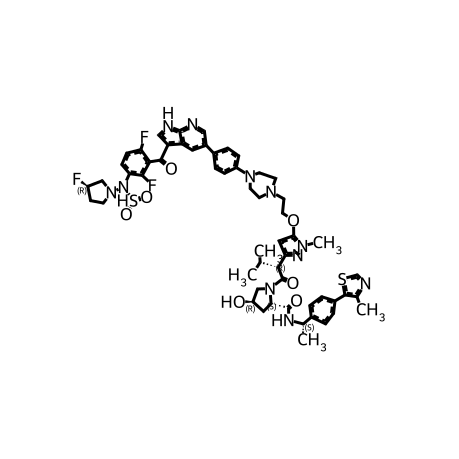 Cc1ncsc1-c1ccc([C@H](C)NC(=O)[C@@H]2C[C@@H](O)CN2C(=O)[C@@H](c2cc(OCCN3CCN(c4ccc(-c5cnc6[nH]cc(C(=O)c7c(F)ccc(N(N8CC[C@@H](F)C8)[SH](=O)=O)c7F)c6c5)cc4)CC3)n(C)n2)C(C)C)cc1